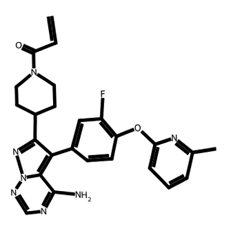 C=CC(=O)N1CCC(c2nn3ncnc(N)c3c2-c2ccc(Oc3cccc(C)n3)c(F)c2)CC1